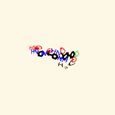 COc1cc(-c2ccc3c(c2)Nc2ccc(CC(=O)N4CCC(NC(=O)O)C4)cc2NC3=O)ccc1Cl